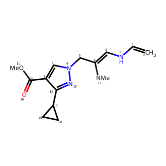 C=CN/C=C(/Cn1cc(C(=O)OC)c(C2CC2)n1)NC